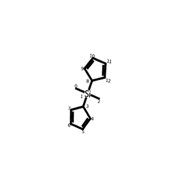 C[Si](C)(C1C=CC=C1)C1C=CC=C1